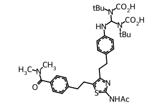 CC(=O)Nc1nc(CCc2ccc(NC(N(C(=O)O)C(C)(C)C)N(C(=O)O)C(C)(C)C)cc2)c(CCc2ccc(C(=O)N(C)C)cc2)s1